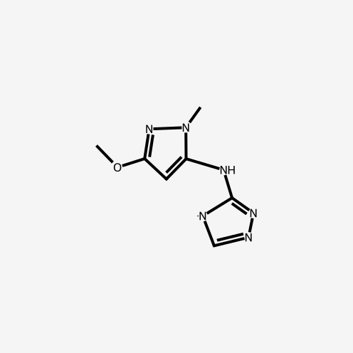 COc1cc(NC2=NN=C[N]2)n(C)n1